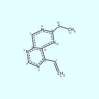 C=Cc1ncnc2cnc(SC)nc12